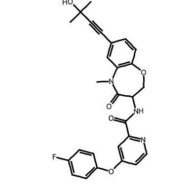 CN1C(=O)C(NC(=O)c2cc(Oc3ccc(F)cc3)ccn2)COc2ccc(C#CC(C)(C)O)cc21